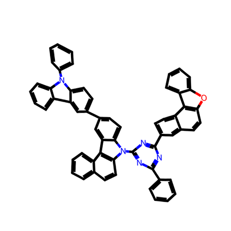 c1ccc(-c2nc(-c3ccc4c(ccc5oc6ccccc6c54)c3)nc(-n3c4ccc(-c5ccc6c(c5)c5ccccc5n6-c5ccccc5)cc4c4c5ccccc5ccc43)n2)cc1